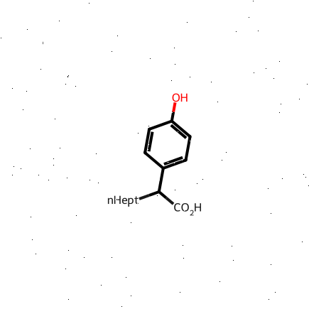 CCCCCCCC(C(=O)O)c1ccc(O)cc1